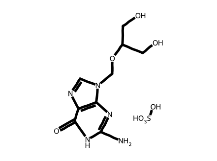 Nc1nc2c(ncn2COC(CO)CO)c(=O)[nH]1.O=S(=O)(O)O